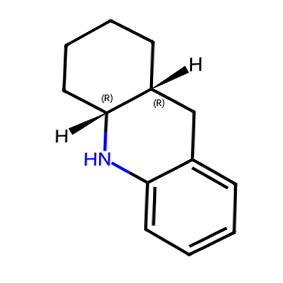 c1ccc2c(c1)C[C@H]1CCCC[C@H]1N2